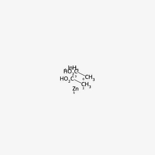 CC(=O)O.CC(=O)O.[InH3].[Zn]